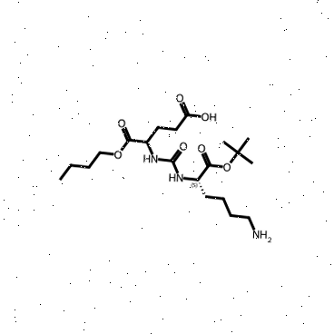 CCCCOC(=O)C(CCC(=O)O)NC(=O)N[C@@H](CCCCN)C(=O)OC(C)(C)C